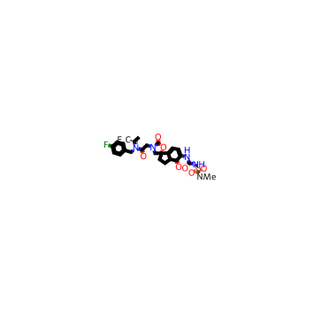 CNS(=O)(=O)NC(=O)NC1=CC=C2C(CCC23CN(CC(=O)N(Cc2ccc(F)cc2)[C@@H](C)C(F)(F)F)C(=O)O3)C1=O